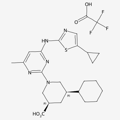 Cc1cc(Nc2ncc(C3CC3)s2)nc(N2C[C@H](C(=O)O)C[C@H](C3CCCCC3)C2)n1.O=C(O)C(F)(F)F